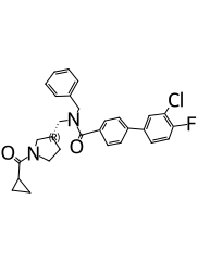 O=C(c1ccc(-c2ccc(F)c(Cl)c2)cc1)N(Cc1ccccc1)C[C@@H]1CCN(C(=O)C2CC2)C1